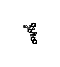 O=C(O)c1ccccc1Oc1ccccc1NS(=O)(=O)c1ccc2ccccc2c1